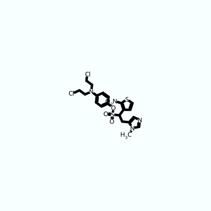 Cn1cncc1CC(c1ccsc1[N+](=O)[O-])S(=O)(=O)Oc1ccc(N(CCCl)CCCl)cc1